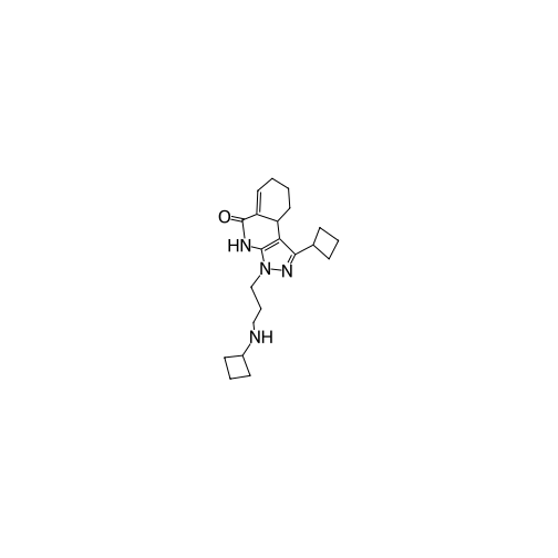 O=C1Nc2c(c(C3CCC3)nn2CCCNC2CCC2)C2CCCC=C12